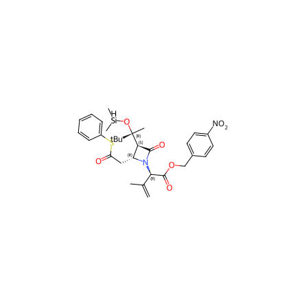 C=C(C)[C@H](C(=O)OCc1ccc([N+](=O)[O-])cc1)N1C(=O)[C@H]([C@@](C)(O[SiH](C)C)C(C)(C)C)[C@H]1CC(=O)Sc1ccccc1